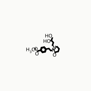 COC(=O)c1ccc(CCN2C(=O)CCCN2CCC(O)CO)cc1